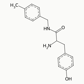 Cc1ccc(CNC(=O)C(N)Cc2ccc(O)cc2)cc1